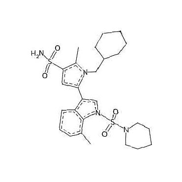 Cc1cccc2c(-c3cc(S(N)(=O)=O)c(C)n3CC3CCCCC3)cn(S(=O)(=O)N3CCCCC3)c12